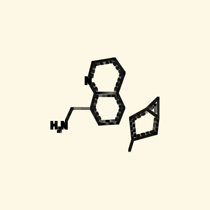 Cc1cc2cc-2c1.NCc1cccc2cccnc12